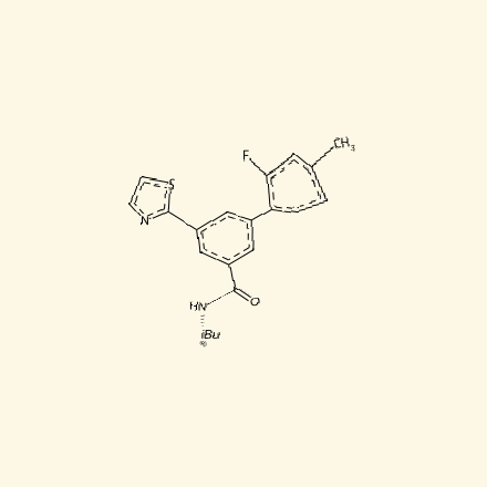 CC[C@@H](C)NC(=O)c1cc(-c2nccs2)cc(-c2ccc(C)cc2F)c1